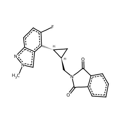 Cn1cc2c([C@@H]3C[C@H]3CN3C(=O)c4ccccc4C3=O)c(F)ccc2n1